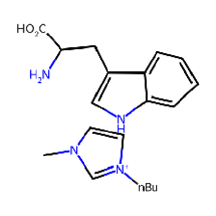 CCCC[n+]1ccn(C)c1.NC(Cc1c[nH]c2ccccc12)C(=O)O